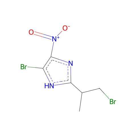 CC(CBr)c1nc([N+](=O)[O-])c(Br)[nH]1